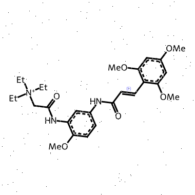 CC[N+](CC)(CC)CC(=O)Nc1cc(NC(=O)/C=C/c2c(OC)cc(OC)cc2OC)ccc1OC